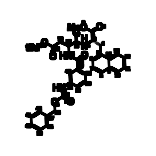 COC(=O)[C@H](Cc1cccc2ccccc12)NC(=O)[C@H](CC(=O)OC(C)(C)C)NC(=O)c1cccc(NC(=O)OCc2ccccc2)c1